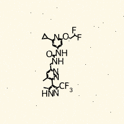 Cc1cc(CNC(=O)Nc2cc(OCC(F)F)nc(C3CC3)c2)nnc1-c1c(C(F)(F)F)n[nH]c1C